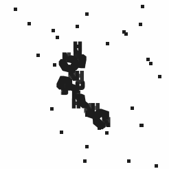 O=C(NCCNCc1ccncc1)c1sccc1Nc1ccnc2[nH]ccc12